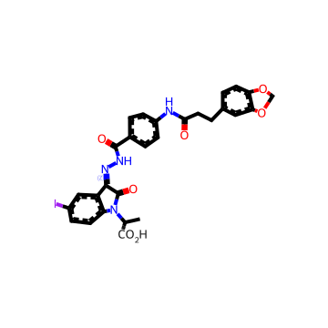 CC(C(=O)O)N1C(=O)/C(=N\NC(=O)c2ccc(NC(=O)CCc3ccc4c(c3)OCO4)cc2)c2cc(I)ccc21